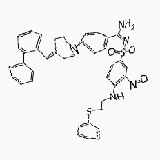 N/C(=N/S(=O)(=O)c1ccc(NCCSc2ccccc2)c(N=O)c1)c1ccc(N2CCC(=Cc3ccccc3-c3ccccc3)CC2)cc1